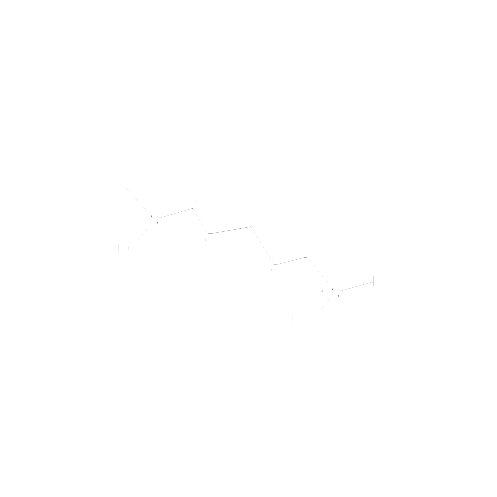 CCN(C)CCCCCN(C)CC